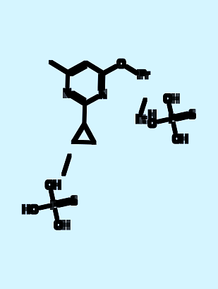 CC.CCC.Cc1cc(OC(C)C)nc(C2CC2)n1.OP(O)(O)=S.OP(O)(O)=S